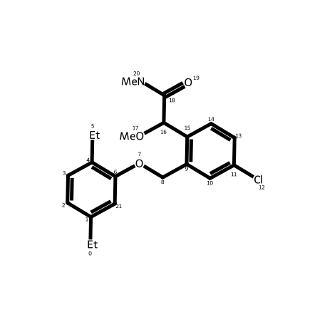 CCc1ccc(CC)c(OCc2cc(Cl)ccc2C(OC)C(=O)NC)c1